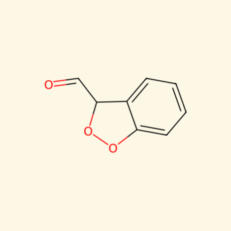 O=CC1OOc2ccccc21